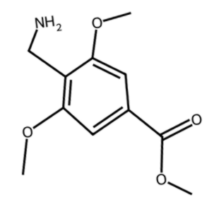 COC(=O)c1cc(OC)c(CN)c(OC)c1